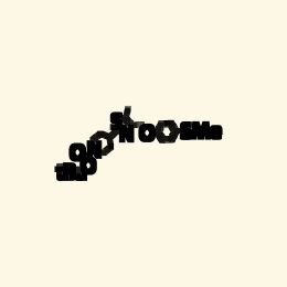 CSc1ccc(OCc2nc(C3CCN(C(=O)OC(C)(C)C)CC3)sc2C)cc1